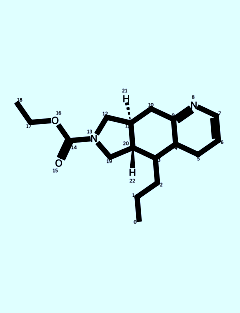 CCCC1C2CC=CN=C2C[C@@H]2CN(C(=O)OCC)C[C@@H]12